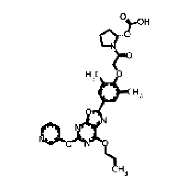 CCCOc1nc(Oc2cccnc2)nc2oc(-c3cc(C)c(OCC(=O)N4CCC[C@@H]4OC(=O)O)c(C)c3)nc12